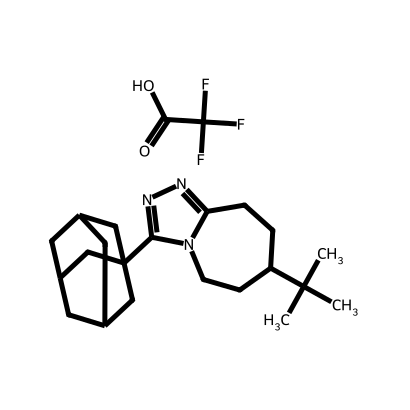 CC(C)(C)C1CCc2nnc(C34CC5CC(CC(C5)C3)C4)n2CC1.O=C(O)C(F)(F)F